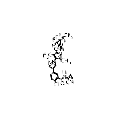 Cn1nc(OS(=O)(=O)C(F)(F)C(F)(F)C(F)(F)C(F)(F)F)c(C(F)(F)F)c1-n1cc(-c2ccc(Cl)c(C(=O)NC3(C#N)CC3)c2)cn1